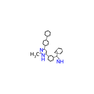 CC1N=C(c2ccc(-c3ccccc3)cc2)C=C(c2cccc(C(C=N)[C@]34C=CC=CC3=C4)c2)N1